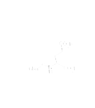 CCCCONC(CCC(=O)O)C(=O)O